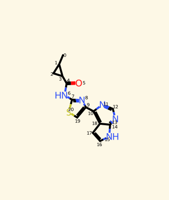 CC1CC1C(=O)Nc1nc(-c2ncnc3[nH]ccc23)cs1